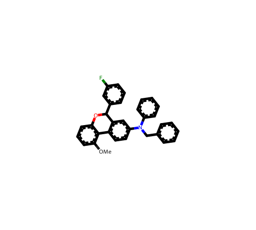 COc1cccc2c1-c1ccc(N(Cc3ccccc3)c3ccccc3)cc1C(c1cccc(F)c1)O2